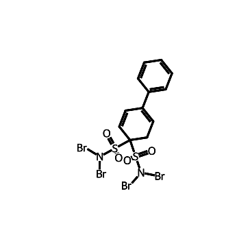 O=S(=O)(N(Br)Br)C1(S(=O)(=O)N(Br)Br)C=CC(c2ccccc2)=CC1